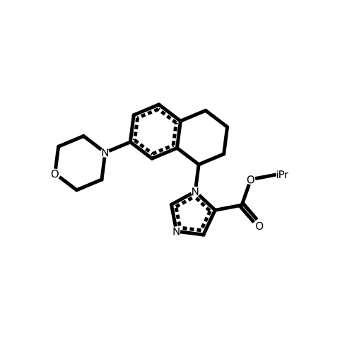 CC(C)OC(=O)c1cncn1C1CCCc2ccc(N3CCOCC3)cc21